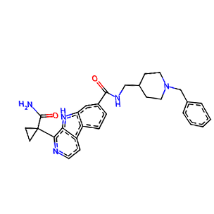 NC(=O)C1(c2nccc3c2[nH]c2cc(C(=O)NCC4CCN(Cc5ccccc5)CC4)ccc23)CC1